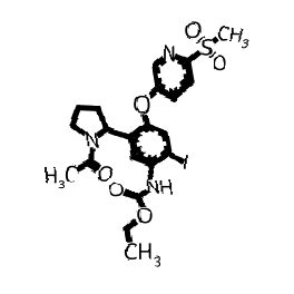 CCOC(=O)Nc1cc(C2CCCN2C(C)=O)c(Oc2ccc(S(C)(=O)=O)nc2)cc1I